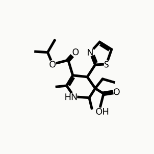 CCC1(C(=O)O)C(C)NC(C)=C(C(=O)OC(C)C)C1c1nccs1